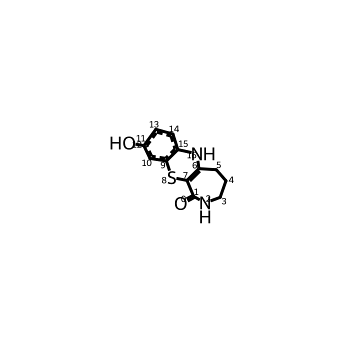 O=C1NCCCC2=C1Sc1cc(O)ccc1N2